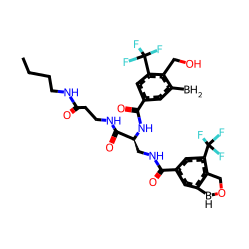 Bc1cc(C(=O)N[C@@H](CNC(=O)c2cc3c(c(C(F)(F)F)c2)COB3)C(=O)NCCC(=O)NCCCC)cc(C(F)(F)F)c1CO